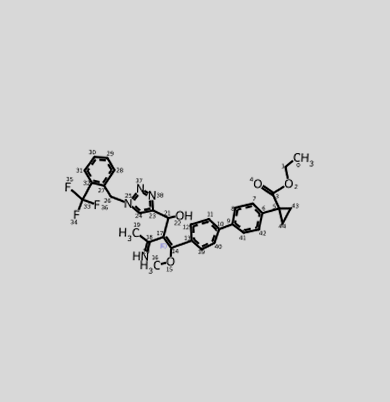 CCOC(=O)C1(c2ccc(-c3ccc(/C(OC)=C(/C(C)=N)C(O)c4cn(Cc5ccccc5C(F)(F)F)nn4)cc3)cc2)CC1